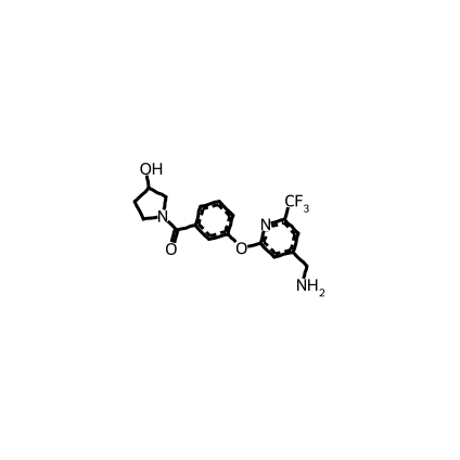 NCc1cc(Oc2cccc(C(=O)N3CCC(O)C3)c2)nc(C(F)(F)F)c1